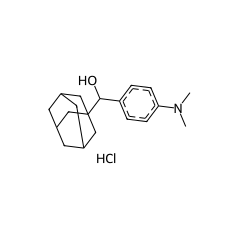 CN(C)c1ccc(C(O)C23CC4CC(CC(C4)C2)C3)cc1.Cl